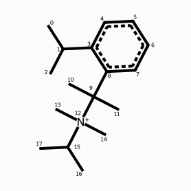 CC(C)c1ccccc1C(C)(C)[N+](C)(C)C(C)C